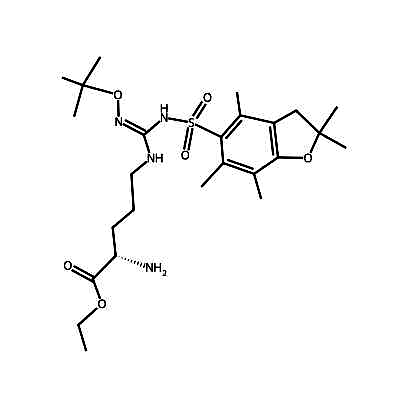 CCOC(=O)[C@@H](N)CCCN/C(=N/OC(C)(C)C)NS(=O)(=O)c1c(C)c(C)c2c(c1C)CC(C)(C)O2